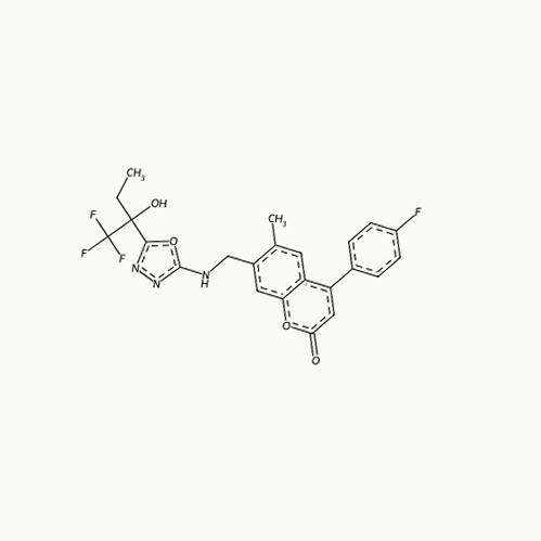 CCC(O)(c1nnc(NCc2cc3oc(=O)cc(-c4ccc(F)cc4)c3cc2C)o1)C(F)(F)F